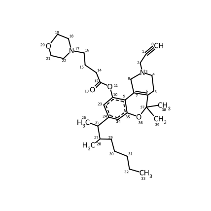 C#CCN1CCC2=C(C1)c1c(OC(=O)CCCN3CCOCC3)cc(C(C)C(C)CCCCC)cc1OC2(C)C